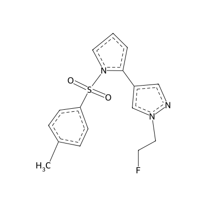 Cc1ccc(S(=O)(=O)n2cccc2-c2cnn(CCF)c2)cc1